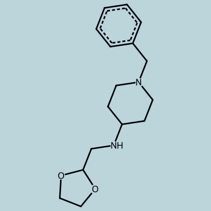 c1ccc(CN2CCC(NCC3OCCO3)CC2)cc1